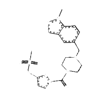 Cn1ncc2cc(CN3CCN(C(=O)n4ccc(NS(C)(=O)=O)n4)CC3)ccc21